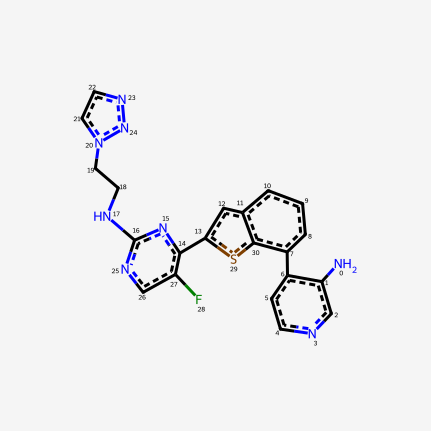 Nc1cnccc1-c1cccc2cc(-c3nc(NCCn4ccnn4)ncc3F)sc12